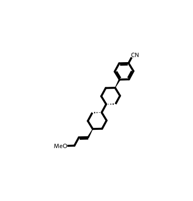 COCC=C[C@H]1CC[C@H]([C@H]2CC[C@H](c3ccc(C#N)cc3)CC2)CC1